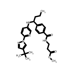 CCCC(Nc1ccc(-n2cc(C(C)(C)C)cn2)nc1)c1ccc(C(=O)NCCC(=O)OC)cc1